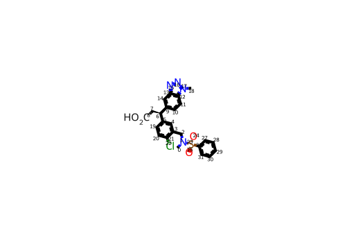 CN(Cc1cc([C@@H](CC(=O)O)c2ccc3c(c2)nnn3C)ccc1Cl)S(=O)(=O)c1ccccc1